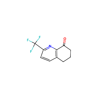 O=C1CCCc2ccc(C(F)(F)F)nc21